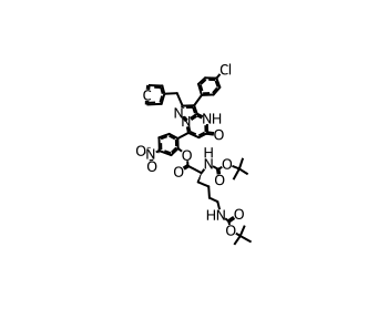 CC(C)(C)OC(=O)NCCCC[C@H](NC(=O)OC(C)(C)C)C(=O)Oc1cc([N+](=O)[O-])ccc1-c1cc(=O)[nH]c2c(-c3ccc(Cl)cc3)c(Cc3ccccc3)nn12